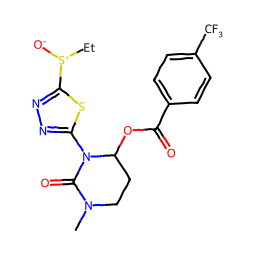 CC[S+]([O-])c1nnc(N2C(=O)N(C)CCC2OC(=O)c2ccc(C(F)(F)F)cc2)s1